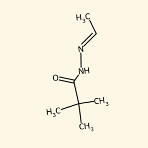 CC=NNC(=O)C(C)(C)C